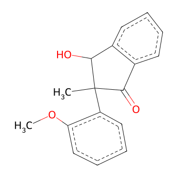 COc1ccccc1C1(C)C(=O)c2ccccc2C1O